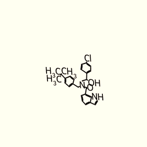 CC(C)(C)c1ccc(CN(CC(O)c2ccc(Cl)cc2)C(=O)c2cccc3cc[nH]c23)cc1